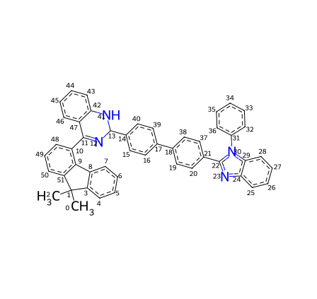 CC1(C)c2ccccc2-c2c(C3=NC(c4ccc(-c5ccc(-c6nc7ccccc7n6-c6ccccc6)cc5)cc4)Nc4ccccc43)cccc21